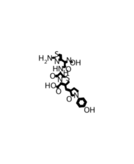 Nc1nc(/C(=N/O)C(=O)N[C@@H]2C(=O)N3C(C(=O)O)=C(C=C4CCN(c5ccc(O)cc5)C4=O)CS[C@H]23)cs1